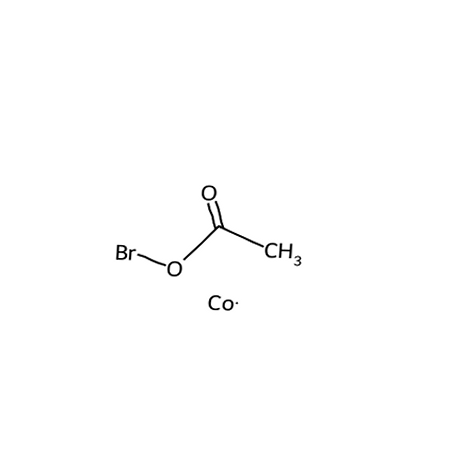 CC(=O)OBr.[Co]